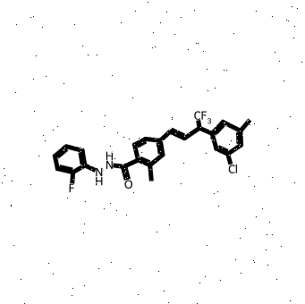 Cc1cc(Cl)cc(C(/C=C/c2ccc(C(=O)NNc3ccccc3F)c(C)c2)C(F)(F)F)c1